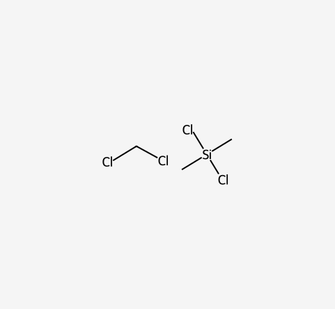 C[Si](C)(Cl)Cl.ClCCl